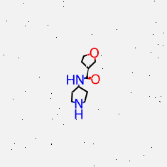 O=C(NC1CCNCC1)[C@H]1CCOC1